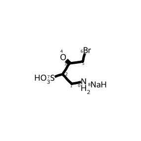 NCC(C(=O)CBr)S(=O)(=O)O.[NaH]